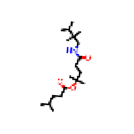 CC(C)CCC(=O)OC(C)(C)CCC(=O)NCC(C)(C)C(C)C